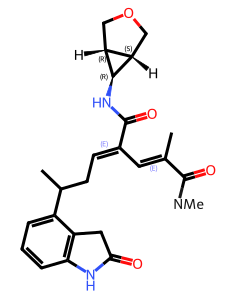 CNC(=O)/C(C)=C/C(=C\CC(C)c1cccc2c1CC(=O)N2)C(=O)N[C@H]1[C@@H]2COC[C@@H]21